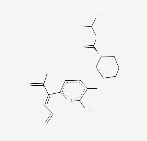 Cc1nc(/C(=C\C=O)C(=N)Cl)ccc1O[C@H]1CCC[C@H](C(=O)OC(C)C)C1